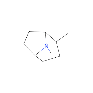 CC1CCC2CCC1N2C